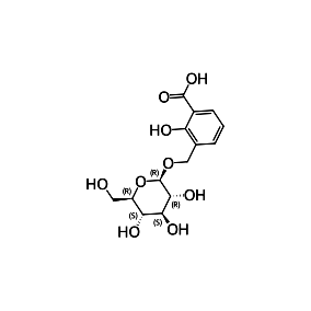 O=C(O)c1cccc(CO[C@@H]2O[C@H](CO)[C@@H](O)[C@H](O)[C@H]2O)c1O